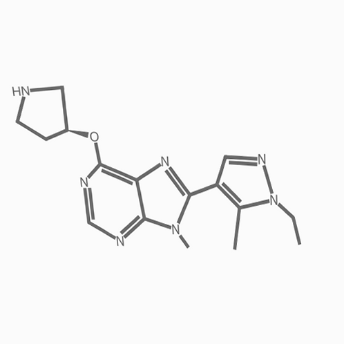 CCn1ncc(-c2nc3c(O[C@H]4CCNC4)ncnc3n2C)c1C